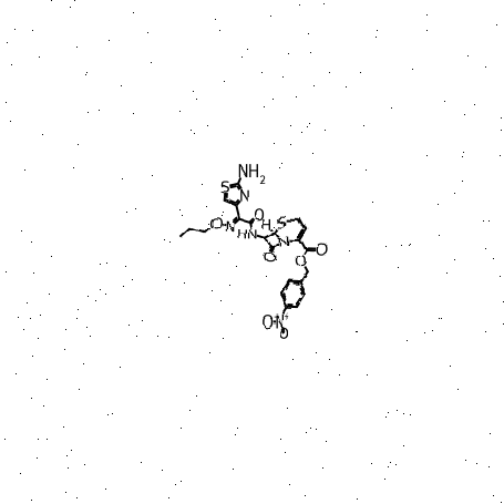 CCCON=C(C(=O)NC1C(=O)N2C(C(=O)OCc3ccc([N+](=O)[O-])cc3)=CCS[C@@H]12)c1csc(N)n1